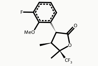 COc1c(F)cccc1[C@@H]1C(=O)O[C@@](C)(C(F)(F)F)[C@H]1C